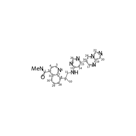 CNC(=O)c1ccnc2c(C(C)CNc3cc(-c4cnc5cncn5c4)ncn3)cccc12